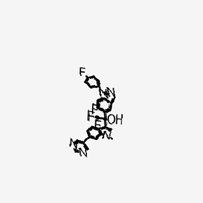 Cn1cc(C(O)(c2ccc3c(cnn3-c3ccc(F)cc3)c2)C(F)(F)F)c2ccc(-c3cncnc3)cc21